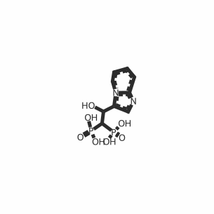 O=P(O)(O)C(C(O)c1cnc2ccccn12)P(=O)(O)O